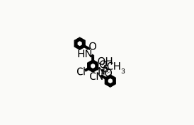 CS(=O)(=O)N(Cc1ccccc1)c1c(O)c(CNC(=O)c2ccccc2)cc(Cl)c1C#N